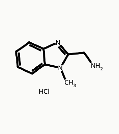 Cl.Cn1c(CN)nc2ccccc21